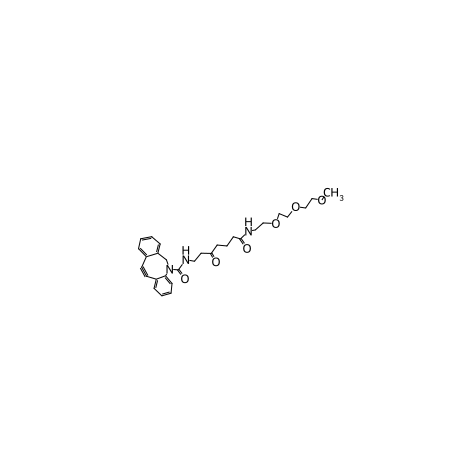 COCCOCCOCCNC(=O)CCCC(=O)CCNC(=O)N1Cc2ccccc2C#Cc2ccccc21